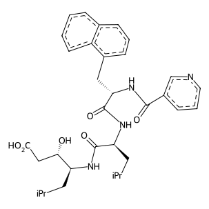 CC(C)C[C@H](NC(=O)[C@H](Cc1cccc2ccccc12)NC(=O)c1cccnc1)C(=O)N[C@@H](CC(C)C)[C@@H](O)CC(=O)O